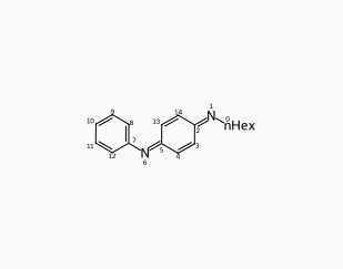 CCCCCCN=C1C=CC(=Nc2ccccc2)C=C1